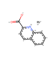 O=C([O-])c1ccc2ccccc2n1.[Rb+]